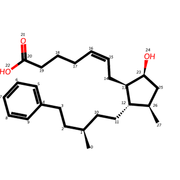 C[C@@H](CCc1ccccc1)CC[C@@H]1[C@@H](C/C=C\CCCC(=O)O)[C@@H](O)C[C@H]1C